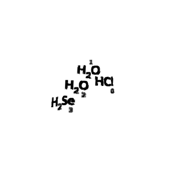 Cl.O.O.[SeH2]